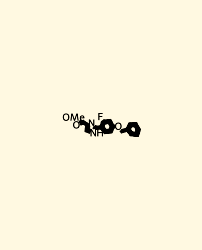 COC(=O)c1c[nH]c(-c2ccc(OCc3ccccc3)cc2F)n1